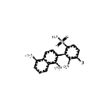 NS(=O)(=O)c1ccc(Cl)c([N+](=O)[O-])c1-c1ccc2c(S(=O)(=O)O)cccc2c1S(=O)(=O)O